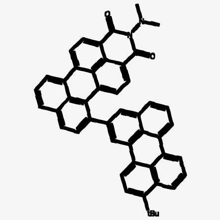 CN(C)N1C(=O)c2ccc3c4cccc5ccc(-c6cc7cccc8c9cccc%10c(C(C)(C)C)ccc(c(c6)c78)c%109)c(c6ccc(c2c36)C1=O)c54